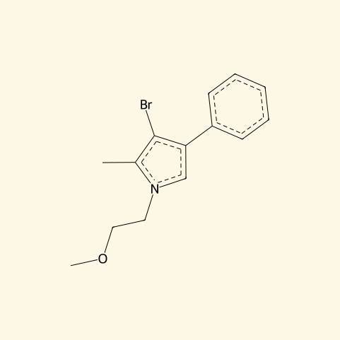 COCCn1cc(-c2ccccc2)c(Br)c1C